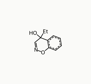 CCC1(O)C=NOc2ccccc21